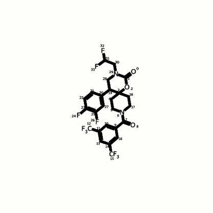 O=C1OC2(CCN(C(=O)c3cc(C(F)(F)F)cc(C(F)(F)F)c3)CC2)C(c2ccc(F)c(F)c2)CN1CC(F)F